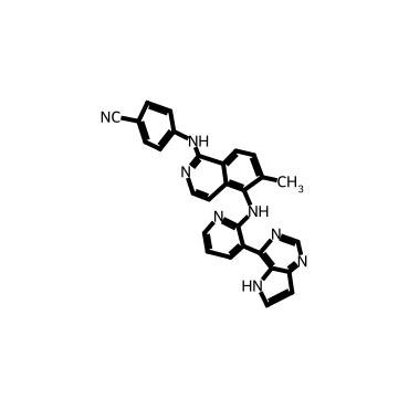 Cc1ccc2c(Nc3ccc(C#N)cc3)nccc2c1Nc1ncccc1-c1ncnc2cc[nH]c12